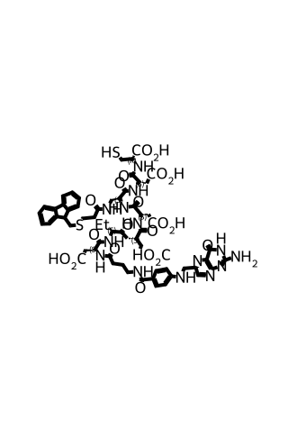 CC[C@H](NC(=O)[C@H](CC(=O)O)NC(=O)CCCNC(=O)c1ccc(NCc2cnc3nc(N)[nH]c(=O)c3n2)cc1)C(=O)C[C@@H](CC(=O)O)C(=O)N[C@@H](CC(=O)O)C(=O)N[C@@H](CNC(=O)CCSCC1c2ccccc2-c2ccccc21)C(=O)N[C@@H](CC(=O)O)C(=O)N[C@@H](CS)C(=O)O